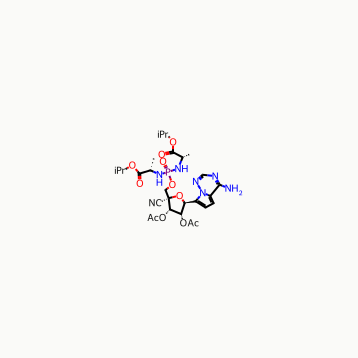 CC(=O)O[C@H]1[C@H](c2ccc3c(N)ncnn23)O[C@](C#N)(COP(=O)(N[C@@H](C)C(=O)OC(C)C)N[C@@H](C)C(=O)OC(C)C)[C@H]1OC(C)=O